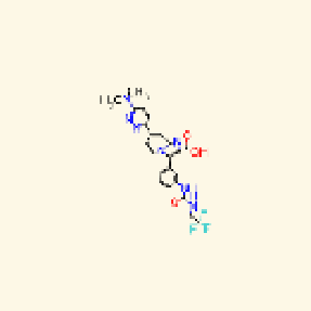 CN(C)c1ccc(-c2ccn3c(-c4cccc(NC(=O)NCC(F)(F)F)c4)cnc3c2)nn1.O=CO